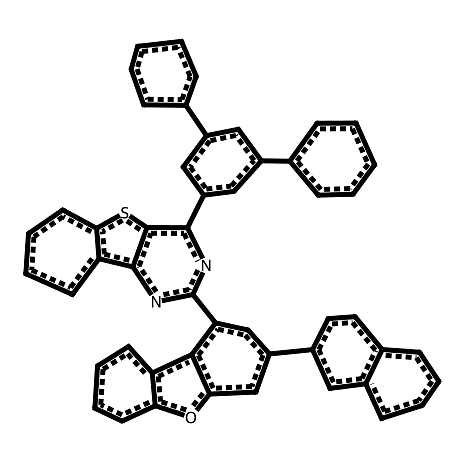 c1ccc(-c2cc(-c3ccccc3)cc(-c3nc(-c4cc(-c5ccc6ccccc6c5)cc5oc6ccccc6c45)nc4c3sc3ccccc34)c2)cc1